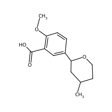 COc1ccc(C2CC(C)CCO2)cc1C(=O)O